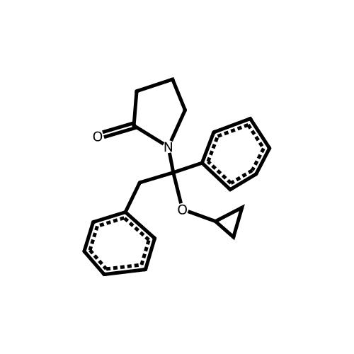 O=C1CCCN1C(Cc1ccccc1)(OC1CC1)c1ccccc1